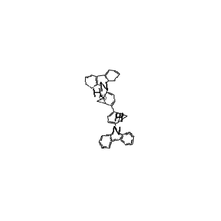 C1=CCC2C(=C1)C1=C(CCC=C1)N2C1=CC=C(C2=CC=C(n3c4ccccc4c4ccccc43)C3C[C@H]23)C2C[C@H]12